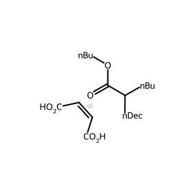 CCCCCCCCCCC(CCCC)C(=O)OCCCC.O=C(O)/C=C\C(=O)O